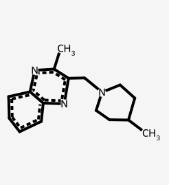 Cc1nc2ccccc2nc1CN1CCC(C)CC1